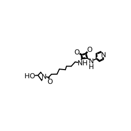 O=C(CCCCCCCNc1c(Nc2ccncc2)c(=O)c1=O)N1CC(O)C1